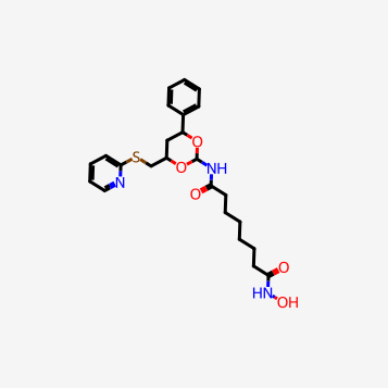 O=C(CCCCCCC(=O)NC1OC(CSc2ccccn2)CC(c2ccccc2)O1)NO